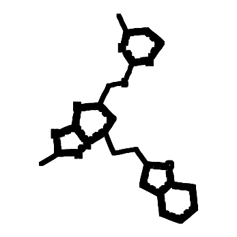 Cc1ccnc(SCc2cc(CCc3cc4ccccc4o3)n3nc(C)nc3n2)n1